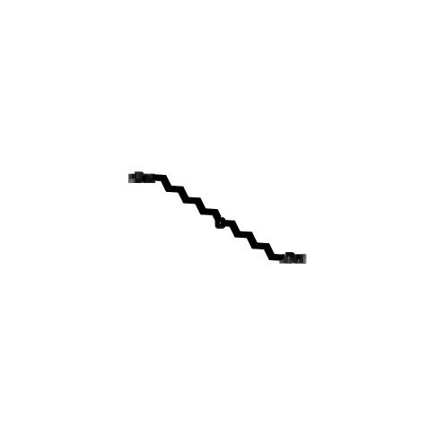 [CH2]CCCCCCCCCCCCCCCCOCCCCCCCCCCCCCCC[CH2]